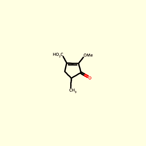 COC1=C(C(=O)O)CC(C)C1=O